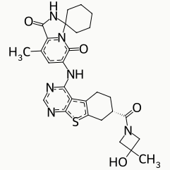 Cc1cc(Nc2ncnc3sc4c(c23)CC[C@H](C(=O)N2CC(C)(O)C2)C4)c(=O)n2c1C(=O)NC21CCCCC1